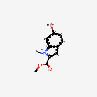 COC(=O)c1cc2ccc(Br)cc2n1C